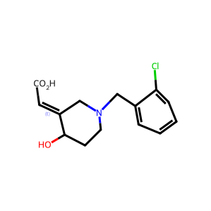 O=C(O)/C=C1\CN(Cc2ccccc2Cl)CCC1O